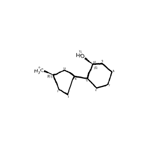 C[C@@H]1CCC(C2CCCC[C@@H]2O)C1